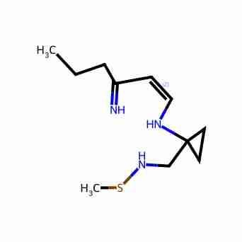 CCCC(=N)/C=C\NC1(CNSC)CC1